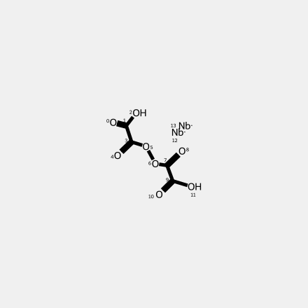 O=C(O)C(=O)OOC(=O)C(=O)O.[Nb].[Nb]